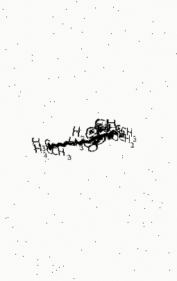 CC(=O)OC(CCCCCCCCCCCC(C)(C)C)(O[SiH](C)C)c1coc([Si](C)(C)C)c1